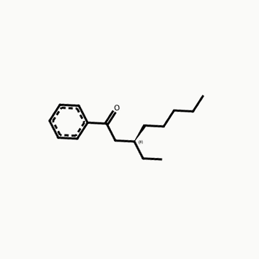 CCCCC[C@@H](CC)CC(=O)c1ccccc1